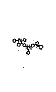 C1=CC=Cc2c(oc3c(C4=CCC(c5nc(C6=CC=C(c7c(C8=CC=CCC8)n8ncc(-c9ccccc9)c8c8ccccc78)CC6)nc(-c6ccccc6)n5)C=C4)cccc23)C=1